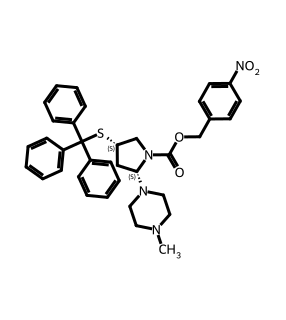 CN1CCN([C@@H]2C[C@H](SC(c3ccccc3)(c3ccccc3)c3ccccc3)CN2C(=O)OCc2ccc([N+](=O)[O-])cc2)CC1